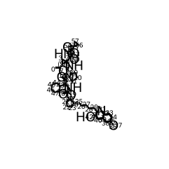 C=C[C@@H]1C[C@]1(NC(=O)[C@@H]1CCCN1C(=O)C(NC(=O)O[C@@H]1CCC[C@H]1CCCCCc1nc2ccc(OC)cc2cc1O)C1CCCCC1)C(=O)NS(=O)(=O)C1CC1